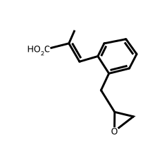 CC(=Cc1ccccc1CC1CO1)C(=O)O